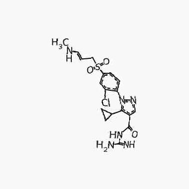 CNC=CCS(=O)(=O)c1ccc(-n2ncc(C(=O)NC(=N)N)c2C2CC2)c(Cl)c1